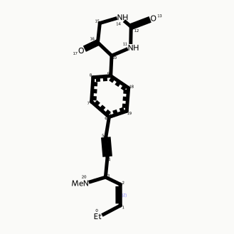 CC/C=C\C(C#Cc1ccc(C2NC(=O)NCC2=O)cc1)NC